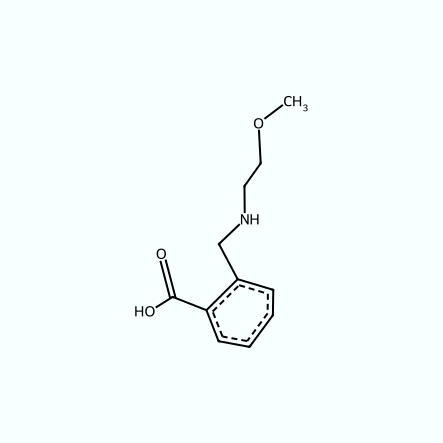 COCCNCc1ccccc1C(=O)O